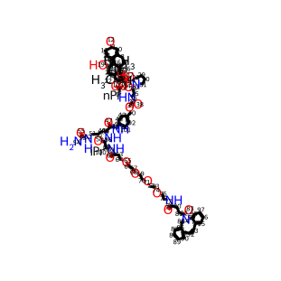 CCCC1O[C@@H]2C[C@H]3[C@@H]4CCC5=CC(=O)C=C[C@]5(C)[C@H]4[C@@H](O)C[C@]3(C)[C@]2(C(=O)COC2CCCN2C(=O)CNC(=O)OCc2ccc(NC(=O)[C@H](CCCNC(N)=O)NC(=O)[C@@H](NC(=O)CCOCCOCCOCCOCCNC(=O)CCC(=O)N3Cc4ccccc4C#Cc4ccccc43)C(C)C)cc2)O1